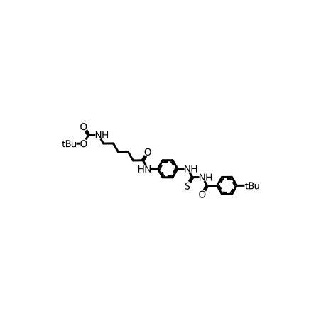 CC(C)(C)OC(=O)NCCCCCC(=O)Nc1ccc(NC(=S)NC(=O)c2ccc(C(C)(C)C)cc2)cc1